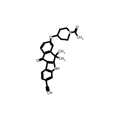 C#Cc1ccc2c3c([nH]c2c1)C(C)(C)c1cc(OC2CCN(C(C)=O)CC2)ccc1C3=O